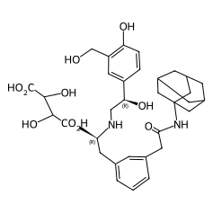 C[C@H](Cc1cccc(CC(=O)NC23CC4CC(CC(C4)C2)C3)c1)NC[C@H](O)c1ccc(O)c(CO)c1.O=C(O)C(O)C(O)C(=O)O